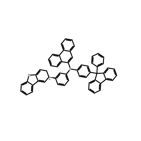 C1=c2oc3ccccc3c2=C[C@H](c2cccc(N(c3ccc(C4(c5ccccc5)c5ccccc5-c5ccccc54)cc3)c3cc4ccccc4c4ccccc34)c2)C1